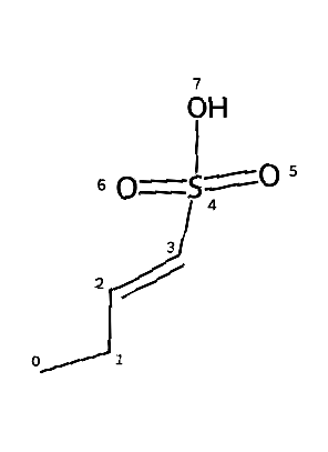 CC/C=C/S(=O)(=O)O